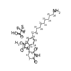 Cn1c(=O)n(C2CCC(=O)NC2=O)c2ccc(CCCCCCCCCCN)cc21.O=C(O)C(F)(F)F